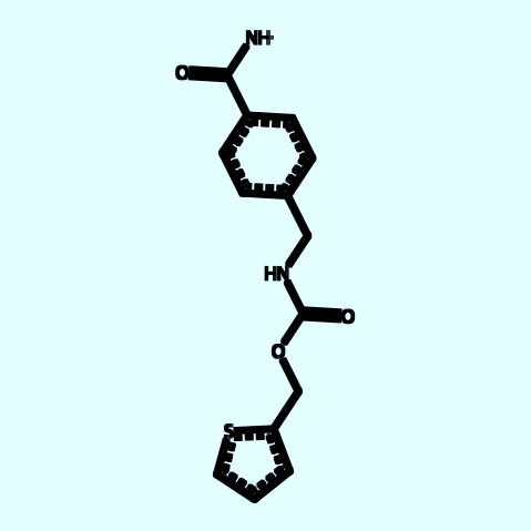 [NH]C(=O)c1ccc(CNC(=O)OCc2cccs2)cc1